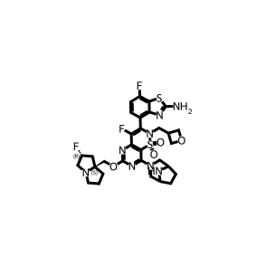 Nc1nc2c(C3=C(F)c4nc(OC[C@@]56CCCN5C[C@H](F)C6)nc(N5CC6CCC(C5)N6)c4S(=O)(=O)N3CC3COC3)ccc(F)c2s1